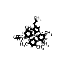 CCCC1=CCC([Si](c2cc(C)cc(C)c2)(c2cc(C)cc(C)c2)c2cc(C)cc(C)c2)=[C]1[Ti+3].[Cl-].[Cl-].[Cl-]